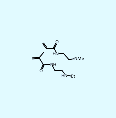 C=C(C)C(=O)NCCNCC.C=CC(=O)NCCNC